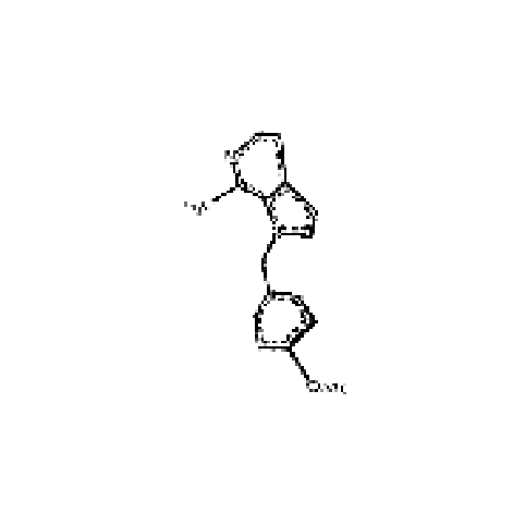 COc1ccc(Cn2ccc3ccnc(C)c32)cc1